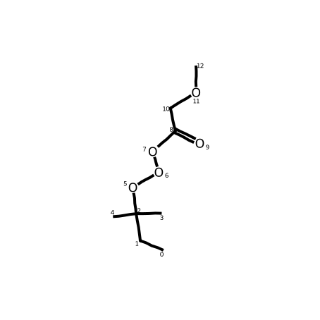 CCC(C)(C)OOOC(=O)COC